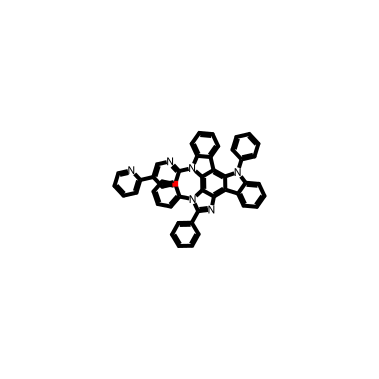 c1ccc(-c2nc3c4c5ccccc5n(-c5ccccc5)c4c4c5ccccc5n(-c5ccc(-c6ccccn6)cn5)c4c3n2-c2ccccc2)cc1